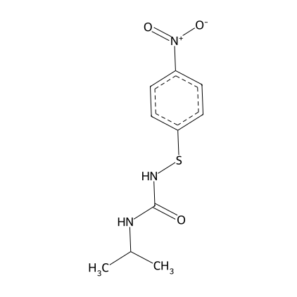 CC(C)NC(=O)NSc1ccc([N+](=O)[O-])cc1